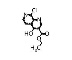 CCOC(=O)c1cnc2c(Cl)nccc2c1O